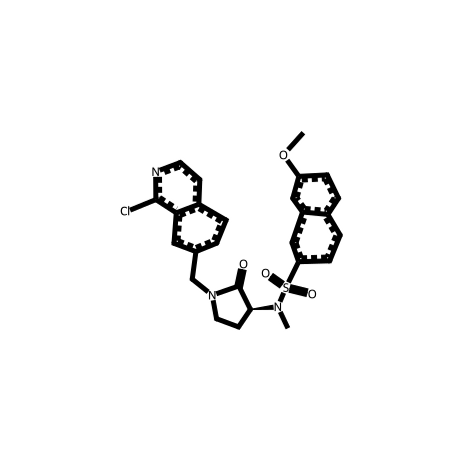 COc1ccc2ccc(S(=O)(=O)N(C)[C@H]3CCN(Cc4ccc5ccnc(Cl)c5c4)C3=O)cc2c1